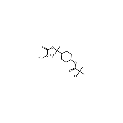 CCC(C)(C)C(=O)OC1CCC(C(C)(OC(=O)OC(C)(C)C)C(F)(F)F)CC1